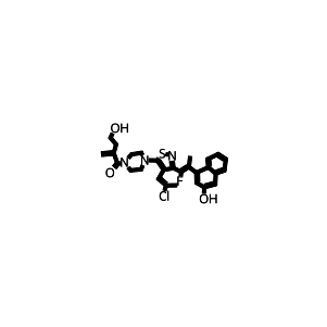 C=C(CCO)C(=O)N1CCN(c2snc(/C(F)=C(\C)c3cc(O)cc4ccccc34)c2/C=C(\C)Cl)CC1